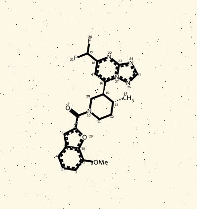 COc1cccc2cc(C(=O)N3CC[C@@H](C)[C@H](c4cc(C(F)F)nc5ncnn45)C3)oc12